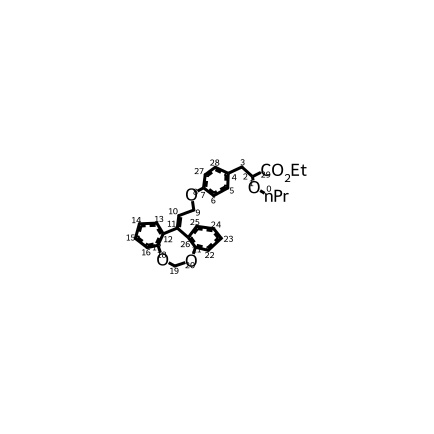 CCCOC(Cc1ccc(OCC=C2c3ccccc3OCOc3ccccc32)cc1)C(=O)OCC